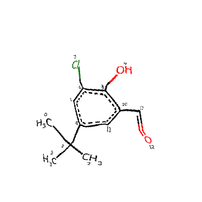 CC(C)(C)c1cc(Cl)c(O)c(C=O)c1